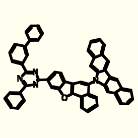 c1ccc(-c2cccc(-c3nc(-c4ccccc4)nc(-c4ccc5c(c4)oc4c6ccccc6c(-n6c7cc8ccccc8cc7c7cc8ccccc8cc76)cc54)n3)c2)cc1